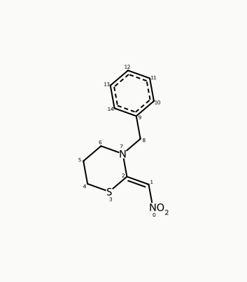 O=[N+]([O-])C=C1SCCCN1Cc1ccccc1